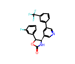 O=C1N[C@H](c2cncc(-c3cccc(C(F)(F)F)c3)c2)C(c2cccc(F)c2)O1